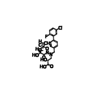 CC(C)(C)ON(C(=O)C(=O)O)N(Cc1ccc(-c2cc(Cl)ccc2F)cc1)C[C@@H](O)C(=O)O